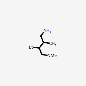 CCC(CNC)C(C)CN